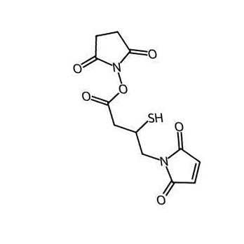 O=C(CC(S)CN1C(=O)C=CC1=O)ON1C(=O)CCC1=O